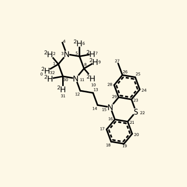 [2H]C1([2H])N(C)C([2H])([2H])C([2H])([2H])N(CCCN2c3ccccc3Sc3ccc(C)cc32)C1([2H])[2H]